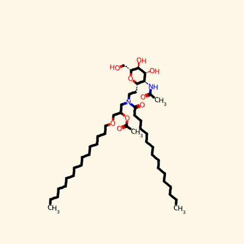 CCCCCCCCCCCCCCCCOCC(CN(CC[C@@H]1O[C@H](CO)[C@@H](O)[C@H](O)[C@@H]1NC(C)=O)C(=O)CCCCCCCCCCCCCCC)OC(C)=O